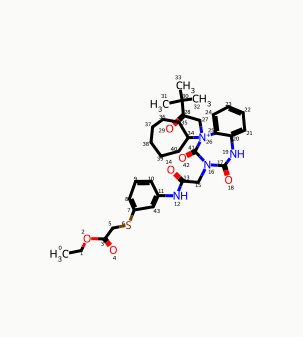 CCOC(=O)CSc1cccc(NC(=O)CN2C(=O)Nc3ccccc3[N+](CC(=O)C(C)(C)C)(C3CCCCCC3)C2=O)c1